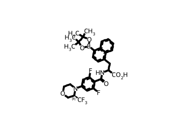 CC1(C)OB(c2ccc(CC(NC(=O)c3c(F)cc(N4CCOC[C@@H]4C(F)(F)F)cc3F)C(=O)O)c3ccccc23)OC1(C)C